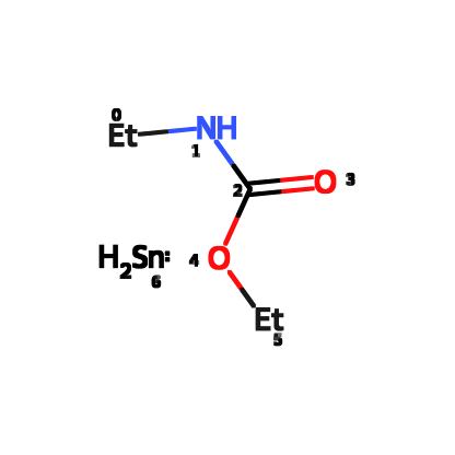 CCNC(=O)OCC.[SnH2]